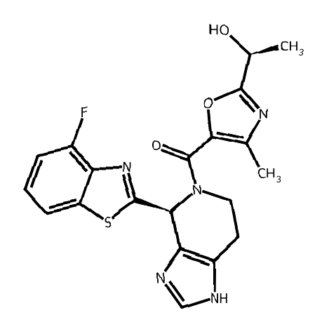 Cc1nc([C@H](C)O)oc1C(=O)N1CCc2[nH]cnc2[C@H]1c1nc2c(F)cccc2s1